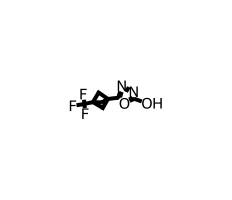 Oc1nnc(C23CC(C(F)(F)F)(C2)C3)o1